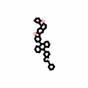 c1ccc(-c2ccc3cc(-c4c5ccccc5c(-c5ccc6oc7cc8c(ccc9oc%10ccccc%10c98)cc7c6c5)c5ccccc45)ccc3c2)cc1